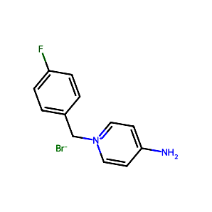 Nc1cc[n+](Cc2ccc(F)cc2)cc1.[Br-]